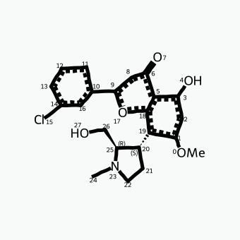 COc1cc(O)c2c(=O)cc(-c3cccc(Cl)c3)oc2c1[C@@H]1CCN(C)[C@H]1CO